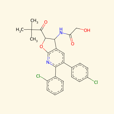 CC(C)(C)C(=O)C1Oc2nc(-c3ccccc3Cl)c(-c3ccc(Cl)cc3)cc2C1NC(=O)CO